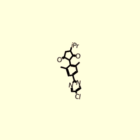 Cc1cc(-c2ncc(Cl)cn2)cc(C)c1C1C(=O)CC(C(C)C)C1=O